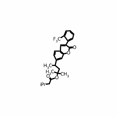 CC(C)CC(=O)OC(C)(C)CC(C)c1ccc2cc(-c3ccccc3C(F)(F)F)c(=O)oc2c1